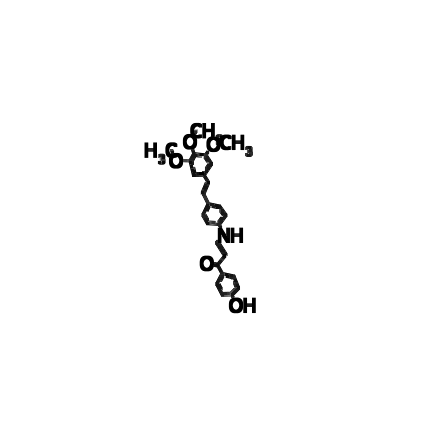 COc1cc(C=Cc2ccc(NC=CC(=O)c3ccc(O)cc3)cc2)cc(OC)c1OC